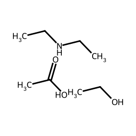 CC(=O)O.CCNCC.CCO